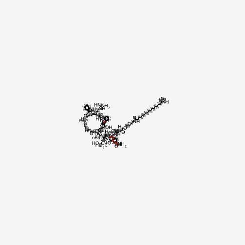 CCCC[C@H](NC(=O)[C@H](CN(CC(=O)O)CC(=O)O)NC(=O)[C@H](Cc1ccc(O)cc1)NC(=O)[C@H](CCC(N)=O)NC(=O)[C@H](CO)NC(=O)CNC(=O)COCCOCCNC(=O)CCCCCCCCCCCCCCCc1nnn[nH]1)C(=O)N[C@H]1CCC(=O)NCCCC[C@@H](C(C)=O)NC(=O)[C@H](Cc2c[nH]c3ccccc23)NC(=O)[C@H](CCCNC(=N)N)NC(=O)[C@@H](Cc2ccccc2)NC(=O)[C@@H]2C[C@@H](O)CN2C1=O